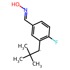 CC(C)(C)[CH]c1cc(/C=N/O)ccc1F